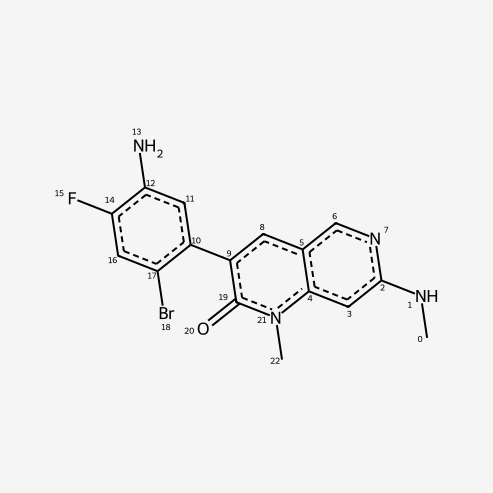 CNc1cc2c(cn1)cc(-c1cc(N)c(F)cc1Br)c(=O)n2C